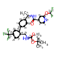 C[C@@H](NC(=O)c1ccnc(OC(F)F)c1)c1ccc(-c2cc(C(F)(F)F)ccc2CNC(=O)OC(C)(C)C)cc1